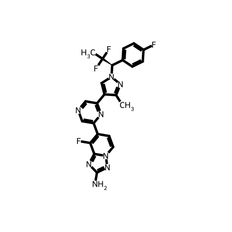 Cc1nn([C@H](c2ccc(F)cc2)C(C)(F)F)cc1-c1cncc(-c2ccn3nc(N)nc3c2F)n1